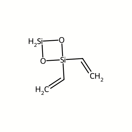 C=C[Si]1(C=C)O[SiH2]O1